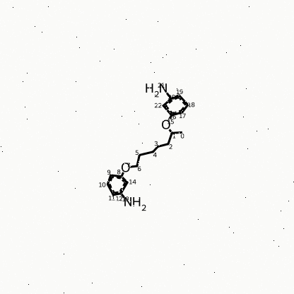 CC(CCCCCOc1cccc(N)c1)Oc1cccc(N)c1